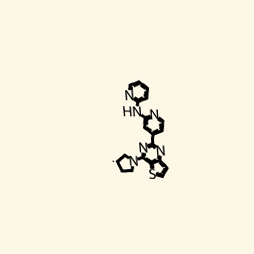 [CH]1CCN(c2nc(-c3ccnc(Nc4ccccn4)c3)nc3ccsc23)C1